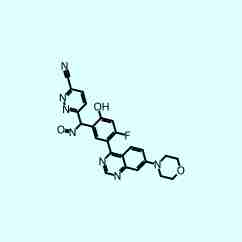 N#Cc1ccc(C(N=O)c2cc(-c3ncnc4cc(N5CCOCC5)ccc34)c(F)cc2O)nn1